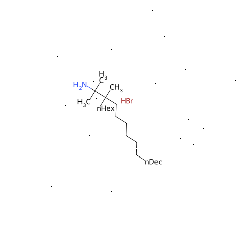 Br.CCCCCCCCCCCCCCCCC(C)(CCCCCC)C(C)(C)N